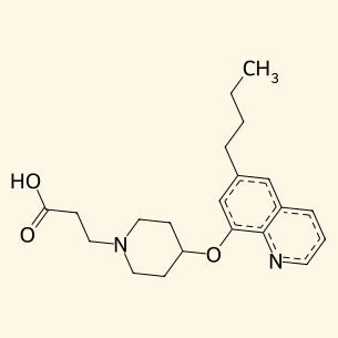 CCCCc1cc(OC2CCN(CCC(=O)O)CC2)c2ncccc2c1